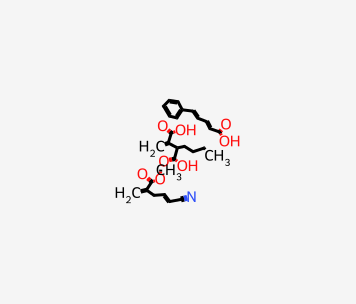 C=C(C(=O)O)C(CCCC)C(=O)O.C=C(CC=CC#N)C(=O)OC.O=C(O)C=CC=Cc1ccccc1